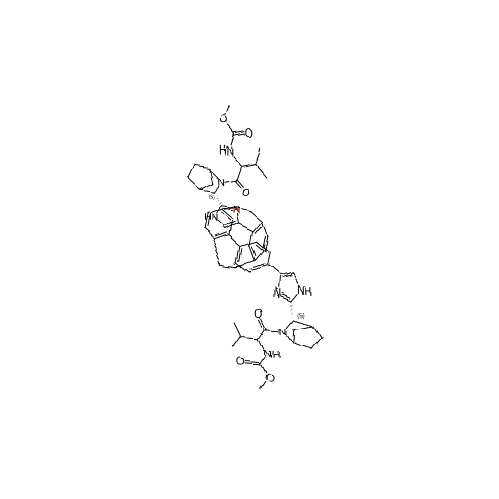 COC(=O)NC(C(=O)N1C2CCC(C2)[C@H]1c1nc(-c2ccc(-c3cc4ccc3CCc3ccc(c(-c5c[nH]c([C@@H]6C7CCC(C7)N6C(=O)C(NC(=O)OC)C(C)C)n5)c3)CC4)cc2)c[nH]1)C(C)C